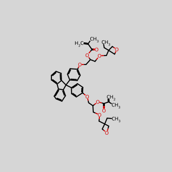 C=C(C)C(=O)OC(COCC1(CC)COC1)COc1ccc(C2(c3ccc(OCC(COCC4(CC)COC4)OC(=O)C(=C)C)cc3)c3ccccc3-c3ccccc32)cc1